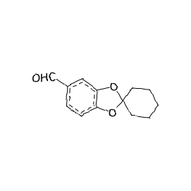 O=Cc1ccc2c(c1)OC1(CCCCC1)O2